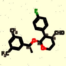 C[C@@H](O[C@H]1OCC[C@@H](C=O)[C@@H]1c1ccc(F)cc1)c1cc(C(F)(F)F)cc(C(F)(F)F)c1